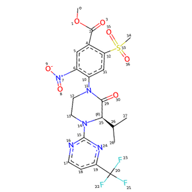 COC(=O)c1cc([N+](=O)[O-])c(N2CCN(c3nccc(C(F)(F)F)n3)[C@H](C(C)C)C2=O)cc1S(C)(=O)=O